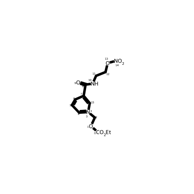 CCOC(=O)OC[n+]1cccc(C(=O)NCCO[N+](=O)[O-])c1